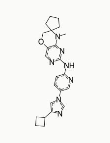 CN1c2nc(Nc3ccc(-n4cnc(C5CCC5)c4)cn3)ncc2OCC12CCCC2